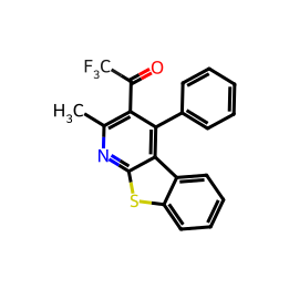 Cc1nc2sc3ccccc3c2c(-c2ccccc2)c1C(=O)C(F)(F)F